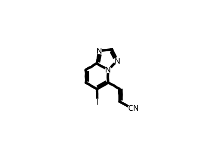 N#C/C=C/c1c(I)ccc2ncnn12